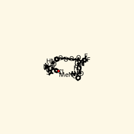 CNC(C)C(=O)NC(C(=O)N1CCN(C(=O)c2c(C(=O)NCCOCCOCCOc3ccc(NC(=O)C[C@@H]4N=C(c5ccc(Cl)cc5)c5c(sc(C)c5C)-n5c(C)nnc54)cc3)c3cc(F)c(F)cc3n2C)CC1)C1CCCCC1